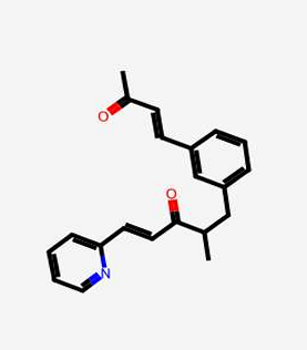 CC(=O)/C=C/c1cccc(CC(C)C(=O)/C=C/c2ccccn2)c1